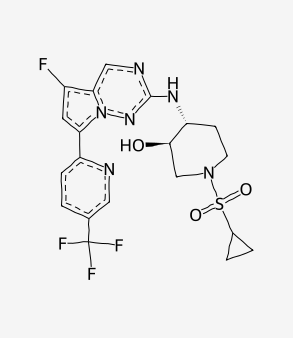 O=S(=O)(C1CC1)N1CC[C@@H](Nc2ncc3c(F)cc(-c4ccc(C(F)(F)F)cn4)n3n2)[C@H](O)C1